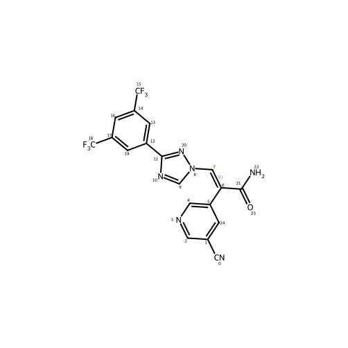 N#Cc1cncc(/C(=C\n2cnc(-c3cc(C(F)(F)F)cc(C(F)(F)F)c3)n2)C(N)=O)c1